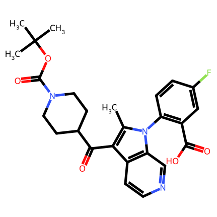 Cc1c(C(=O)C2CCN(C(=O)OC(C)(C)C)CC2)c2ccncc2n1-c1ccc(F)cc1C(=O)O